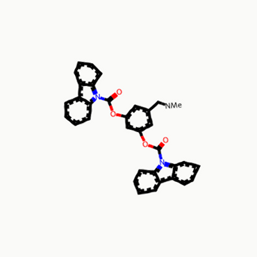 CNCc1cc(OC(=O)n2c3ccccc3c3ccccc32)cc(OC(=O)n2c3ccccc3c3ccccc32)c1